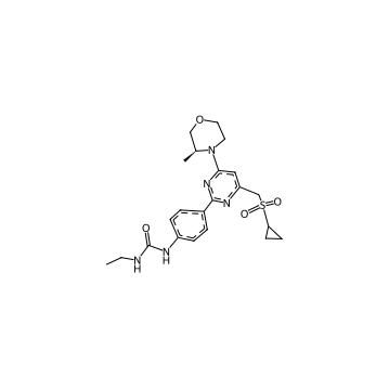 CCNC(=O)Nc1ccc(-c2nc(CS(=O)(=O)C3CC3)cc(N3CCOC[C@@H]3C)n2)cc1